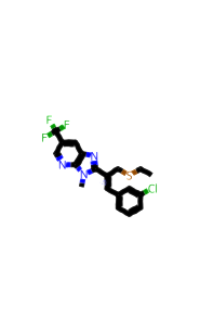 CCSC/C(=C\c1cccc(Cl)c1)c1nc2cc(C(F)(F)F)cnc2n1C